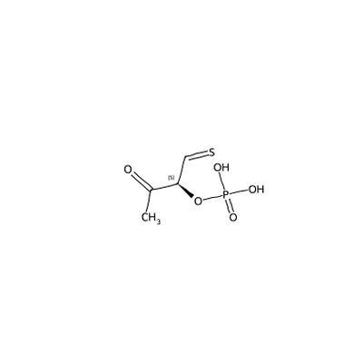 CC(=O)[C@@H](C=S)OP(=O)(O)O